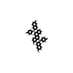 Cc1ccc(N(c2ccc3cc(C)ccc3c2)c2cc3c4ccc(C)cc4c(N(c4ccc(C)cc4)c4ccc5cc(C)ccc5c4)cc3c3ccccc23)cc1